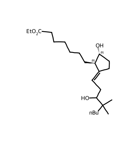 CCCCC(C)(C)C(O)CC=C1CC[C@@H](O)[C@@H]1CCCCCCC(=O)OCC